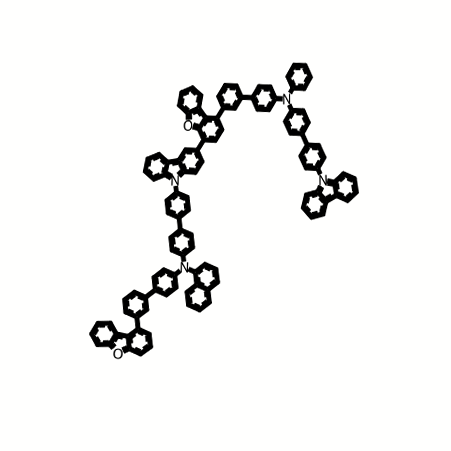 c1ccc(N(c2ccc(-c3ccc(-n4c5ccccc5c5ccccc54)cc3)cc2)c2ccc(-c3cccc(-c4ccc(-c5ccc6c(c5)c5ccccc5n6-c5ccc(-c6ccc(N(c7ccc(-c8cccc(-c9cccc%10oc%11ccccc%11c9%10)c8)cc7)c7cccc8ccccc78)cc6)cc5)c5oc6ccccc6c45)c3)cc2)cc1